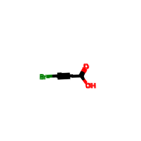 O=C(O)C#CBr